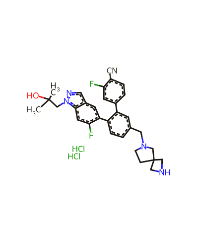 CC(C)(O)Cn1ncc2cc(-c3ccc(CN4CCC5(CNC5)C4)cc3-c3ccc(C#N)c(F)c3)c(F)cc21.Cl.Cl